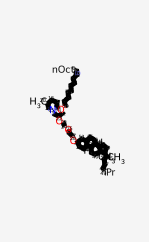 CCCCCCCC/C=C\CCCCCCCCOCC(CN1CCCC(C)C1)OCCOCCO[C@H]1CCC2(C)C(=CCC3[C@@H]2CC[C@]2(C)C([C@@H](C)CCCC(C)C)CC[C@@H]32)C1